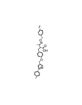 C/C(=N\OCc1ccc(F)cc1)C(Cc1ccc(OCc2cnn(-c3ccc(C)cc3)c2)cc1)C(=O)O